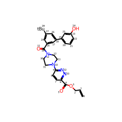 C=CCOC(=O)c1ccc(N2CCN(C(=O)c3cc(-c4cccc(O)c4)cc(C(C)(C)C)c3)CC2)nn1